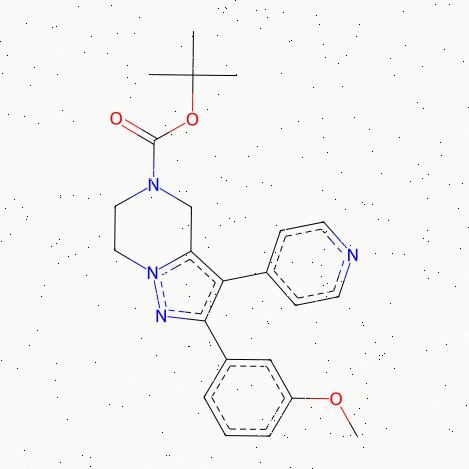 COc1cccc(-c2nn3c(c2-c2ccncc2)CN(C(=O)OC(C)(C)C)CC3)c1